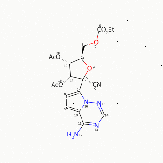 CCOC(=O)OC[C@H]1O[C@@](C#N)(c2ccc3c(N)ncnn23)[C@H](OC(C)=O)[C@@H]1OC(C)=O